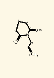 C=CCN1C(=O)CCCC1=O